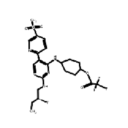 CC[C@H](F)CNc1ncc(-c2ccc(S(C)(=O)=O)cn2)c(NC2CCC(OC(=O)C(F)(F)F)CC2)n1